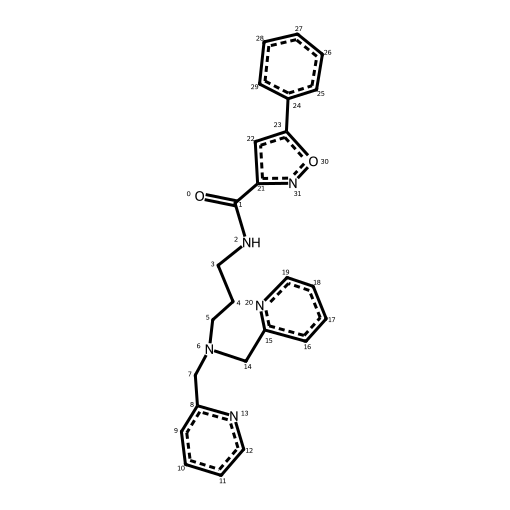 O=C(NCCCN(Cc1ccccn1)Cc1ccccn1)c1cc(-c2ccccc2)on1